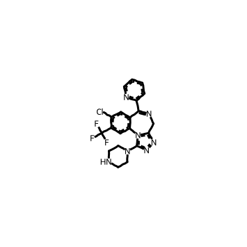 FC(F)(F)c1cc2c(cc1Cl)C(c1ccccn1)=NCc1nnc(N3CCNCC3)n1-2